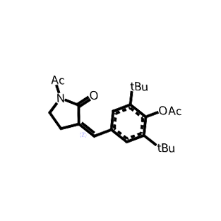 CC(=O)Oc1c(C(C)(C)C)cc(/C=C2/CCN(C(C)=O)C2=O)cc1C(C)(C)C